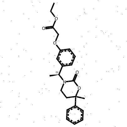 CCOC(=O)COc1cccc([C@H](C)N2CCC(C)(c3ccccc3)OC2=O)c1